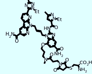 CCn1nc(C)cc1C(=O)Nc1nc2cc(C(N)=O)cc(OCCCN(C)C(=O)CCN3C(=O)CC(SC[C@H](N)C(=O)O)C3=O)c2n1C/C=C/Cn1c2ncc(C(N)=O)cc2c2ccc(-c3nc(C)nn3CC)nc21